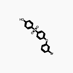 O=S(=O)(c1ccc(O)cc1)c1ccc(Oc2cccc(Br)c2)cc1